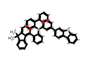 CC1(C)c2ccccc2-c2c(-c3ccccc3N(c3cccc(-c4ccc5c(c4)oc4ccccc45)c3)c3ccccc3-c3ccccc3)cccc21